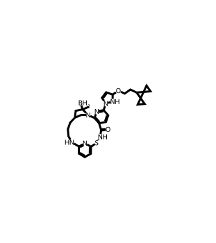 BC1(C)CC2CCCNc3cccc(n3)SNC(=O)c3ccc(N4C=CC(OCCC5C6(CC6)C56CC6)N4)nc3N1C2